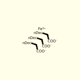 CCCCCCCCCCCC(=O)[O-].CCCCCCCCCCCC(=O)[O-].CCCCCCCCCCCC(=O)[O-].[Fe+3]